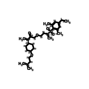 CCc1cc(C)c(S(=O)(=O)N(C)CCOCC(=O)N(C)[C@H]2CC[C@H](OCCN(C)C)CC2)c(C)c1